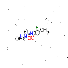 CCC(C(=O)NC=O)N1Cc2c(ccc(C)c2F)C1=O